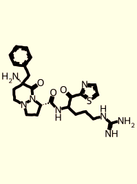 N=C(N)NCCCC(NC(=O)[C@@H]1CCN2CC[C@@](N)(Cc3ccccc3)C(=O)N12)C(=O)c1nccs1